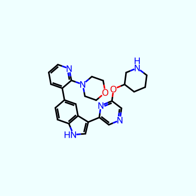 c1cnc(N2CCOCC2)c(-c2ccc3[nH]cc(-c4cncc(OC5CCCNC5)n4)c3c2)c1